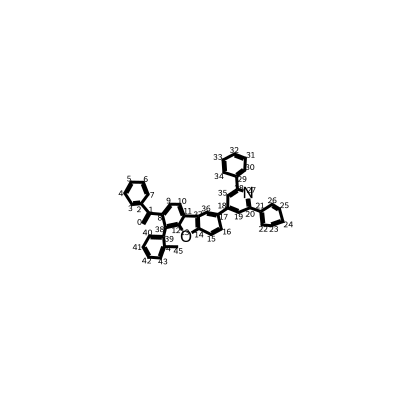 C=C(c1ccccc1)c1ccc2c(oc3ccc(-c4cc(-c5ccccc5)nc(-c5ccccc5)c4)cc32)c1-c1ccccc1C